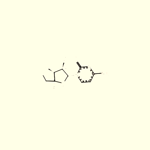 CC[C@@]1(CF)O[C@@H](n2ccc(N)nc2=O)[C@H](F)[C@@H]1C